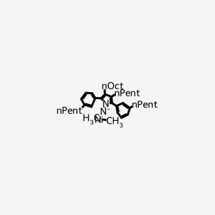 CCCCCCCCC1=C(c2cccc(CCCCC)c2)[N+](=[N-])C(c2cccc(CCCCC)c2)=C1CCCCC.[CH3][Ni][CH3]